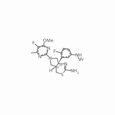 COc1nc(N2C[C@H]3CSC(N)=N[C@@]3(c3cc(NC(C)C)ccc3F)C2)nc(C)c1F